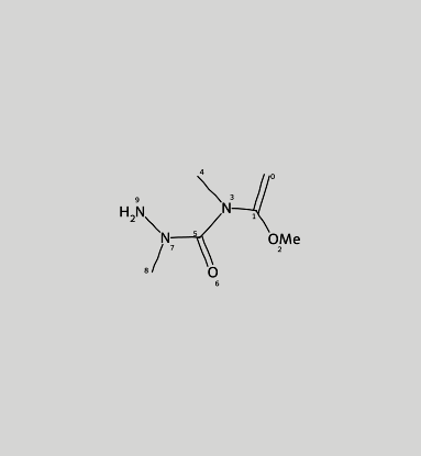 C=C(OC)N(C)C(=O)N(C)N